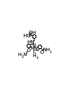 CC1Cc2c(C(N)=O)cccc2N1c1nc(NCc2cccc(B(O)O)c2)c2cccc(OCCN)c2n1